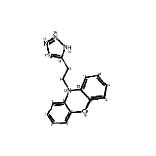 c1ccc2c(c1)Oc1ccccc1N2CCc1nnn[nH]1